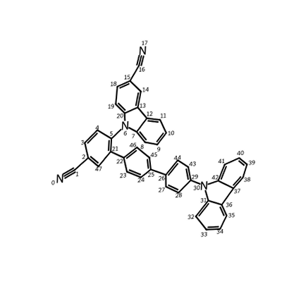 N#Cc1ccc(-n2c3ccccc3c3cc(C#N)ccc32)c(-c2ccc(-c3ccc(-n4c5ccccc5c5ccccc54)cc3)cc2)c1